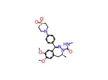 CNC(=O)N1N=C(c2ccc(N3CCS(=O)(=O)CC3)cc2)c2cc(OC)c(OC)cc2C[C@@H]1C